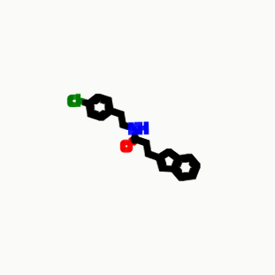 O=C(CCC1=Cc2ccccc2C1)NCCc1ccc(Cl)cc1